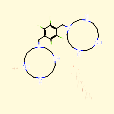 Br.Br.Br.Br.Br.Br.Br.Br.Fc1c(F)c(CN2CCCNCCNCCCNCC2)c(F)c(F)c1CN1CCCNCCNCCCNCC1.O.O